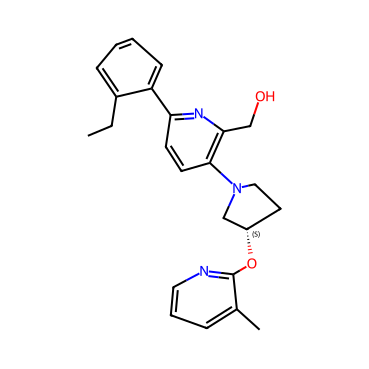 CCc1ccccc1-c1ccc(N2CC[C@H](Oc3ncccc3C)C2)c(CO)n1